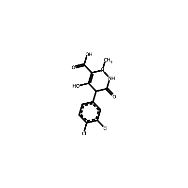 CN1NC(=O)C(c2ccc(Cl)c(Cl)c2)C(O)=C1C(=O)O